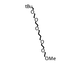 COCCOCCOCCCCOCCOCCOCC(C)(C)C